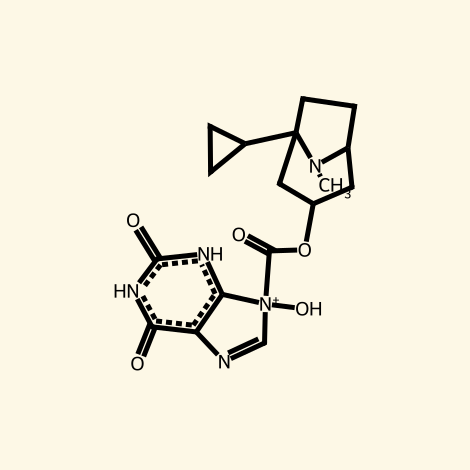 CN1C2CCC1(C1CC1)CC(OC(=O)[N+]1(O)C=Nc3c1[nH]c(=O)[nH]c3=O)C2